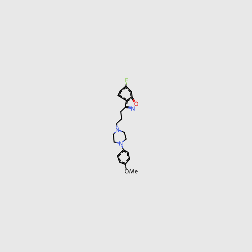 COc1ccc(N2CCN(CCCc3noc4cc(F)ccc34)CC2)cc1